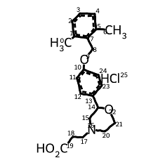 Cc1cccc(C)c1COc1ccc(C2CN(CCC(=O)O)CCO2)cc1.Cl